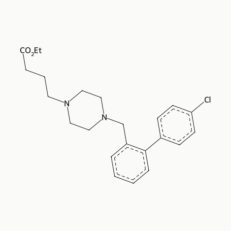 CCOC(=O)CCCN1CCN(Cc2ccccc2-c2ccc(Cl)cc2)CC1